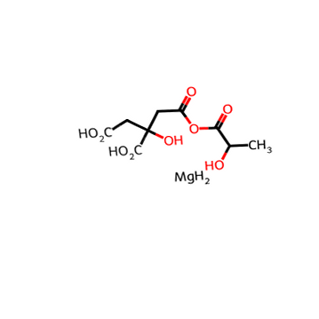 CC(O)C(=O)OC(=O)CC(O)(CC(=O)O)C(=O)O.[MgH2]